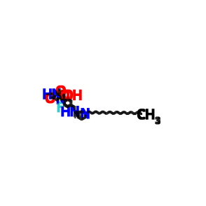 CCCCCCCCCCCCCCCCN1CCC[C@H](NCc2cc(O)c(N3CC(=O)NS3(=O)=O)c(F)c2)C1